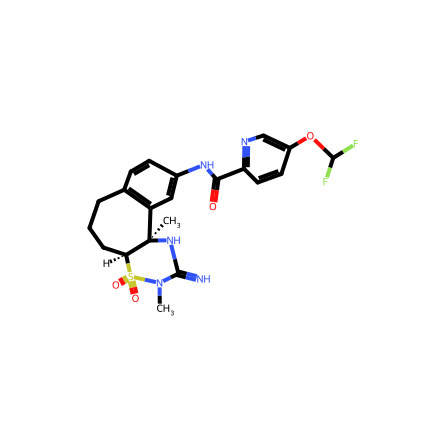 CN1C(=N)N[C@]2(C)c3cc(NC(=O)c4ccc(OC(F)F)cn4)ccc3CCC[C@@H]2S1(=O)=O